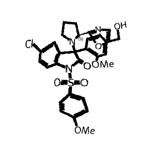 COc1ccc(S(=O)(=O)N2C(=O)C(c3ccc(CO)cc3OC)(N3CCC[C@H]3c3ncco3)c3cc(Cl)ccc32)cc1